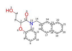 O=C1C(CCO)Oc2ccccc2N1Cc1ccc2ccccc2c1